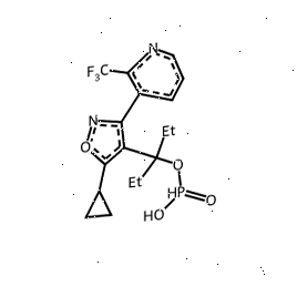 CCC(CC)(O[PH](=O)O)c1c(-c2cccnc2C(F)(F)F)noc1C1CC1